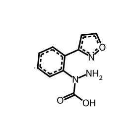 NN(C(=O)O)c1c[c]ccc1-c1ccon1